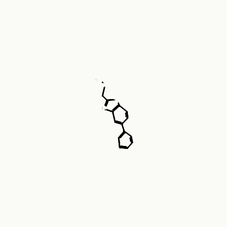 CC(=O)SCc1nc2cc(-c3ccccc3)ccc2o1